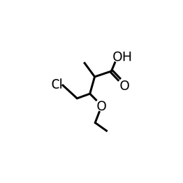 CCOC(CCl)C(C)C(=O)O